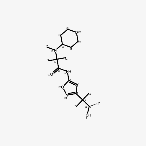 C[C@H](O)C(C)(C)c1cc(NC(=O)C(C)(C)N(C)C2CCOCC2)on1